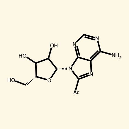 CC(=O)c1nc2c(N)ncnc2n1[C@@H]1O[C@H](CO)C(O)C1O